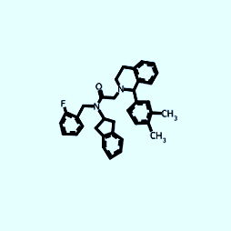 Cc1ccc(C2c3ccccc3CCN2CC(=O)N(Cc2ccccc2F)C2Cc3ccccc3C2)cc1C